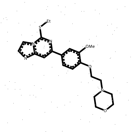 CCSc1nc(-c2ccc(OCCN3CCOCC3)c(OC)c2)cc2nccn12